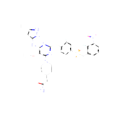 COc1c(Nc2cc(C)[nH]n2)nc(Sc2ccc(S(=O)(=O)Cc3cccc([N+](=O)[O-])c3F)cc2F)nc1N1CCC(CC(N)=O)CC1